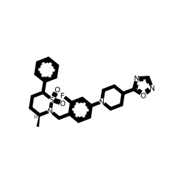 C[C@H]1CCC(c2ccccc2)S(=O)(=O)N1Cc1ccc(N2CCC(c3ncno3)CC2)cc1F